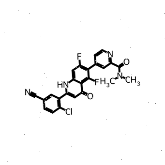 CN(C)C(=O)c1cc(-c2c(F)cc3[nH]c(-c4cc(C#N)ccc4Cl)cc(=O)c3c2F)ccn1